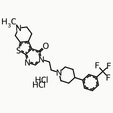 CN1CCc2c(sc3ncn(CCN4CCC(c5cccc(C(F)(F)F)c5)CC4)c(=O)c23)C1.Cl.Cl